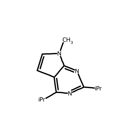 CC(C)c1nc(C(C)C)c2ccn(C)c2n1